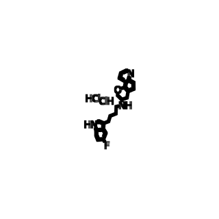 Cl.Cl.Fc1ccc2[nH]cc(CCCCNC3COc4c(ccc5ncccc45)C3)c2c1